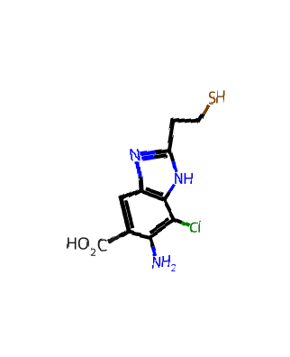 Nc1c(C(=O)O)cc2nc(CCS)[nH]c2c1Cl